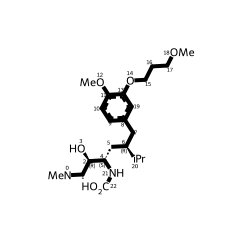 CNC[C@@H](O)[C@H](C[C@@H](Cc1ccc(OC)c(OCCCOC)c1)C(C)C)NC(=O)O